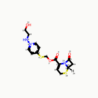 O=C(OCSc1cc[n+](NCCO)cc1)C1=CCS[C@H]2CC(=O)N12